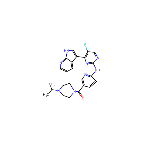 CC(C)N1CCN(C(=O)c2ccc(Nc3ncc(F)c(-c4c[nH]c5ncccc45)n3)nc2)CC1